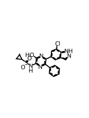 O=S(=O)(Nc1nc(-c2ccccc2)c(-c2cc(Cl)c3[nH]ncc3c2)nc1O)C1CC1